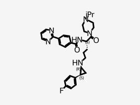 CC(C)N1CCN(C(=O)[C@H](CCCN[C@@H]2C[C@H]2c2ccc(F)cc2)NC(=O)c2ccc(-c3ncccn3)cc2)CC1